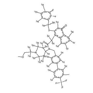 [2H]c1c([2H])c(F)c(F)c(C([2H])([2H])Sc2c([2H])c(=O)c3c([2H])c([2H])c([2H])c([2H])c3n2C([2H])([2H])C(=O)N(Cc2c([2H])c([2H])c(-c3c([2H])c([2H])c(C(F)(F)F)c(C)c3[2H])c([2H])c2[2H])C2([2H])C([2H])([2H])C([2H])([2H])N(C([2H])([2H])COC)C([2H])([2H])C2([2H])[2H])c1[2H]